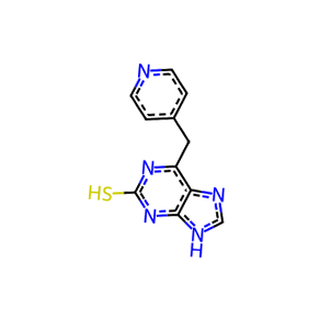 Sc1nc(Cc2ccncc2)c2nc[nH]c2n1